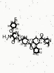 Cc1ncc(C(=O)N2CC[C@@H](C(=O)N3CCC(O)(Cn4cnc(Oc5ccc(F)cc5)c(N)c4=O)CC3)[C@H](c3ccccc3)C2)s1